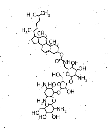 CC(C)CCC[C@@H](C)C1CCC2C3CC=C4CC(OC(=O)NCC5O[C@H](O[C@@H]6C(O)[C@H](O[C@@H]7C(O)[C@H](N)CC(N)[C@H]7O[C@H]7OC(CO)[C@@H](O)[C@H](O)C7N)O[C@@H]6CO)[C@H](N)C(O)[C@@H]5O)CC[C@]4(C)C3CC[C@@]21C